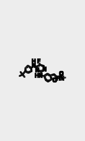 CNC(=O)c1cc2cc(Nc3ncc(F)c(Nc4ccc(C(C)(C)C)cc4)n3)ccc2o1